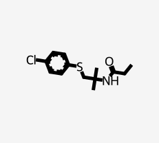 CCC(=O)NC(C)(C)CSc1ccc(Cl)cc1